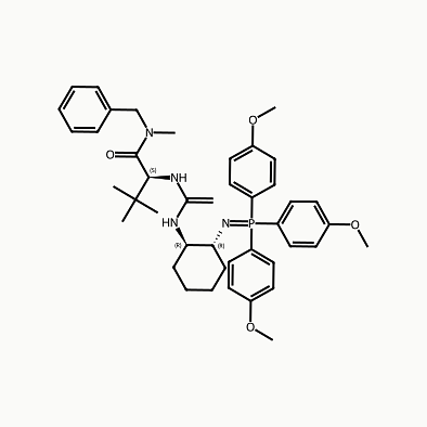 C=C(N[C@H](C(=O)N(C)Cc1ccccc1)C(C)(C)C)N[C@@H]1CCCC[C@H]1N=P(c1ccc(OC)cc1)(c1ccc(OC)cc1)c1ccc(OC)cc1